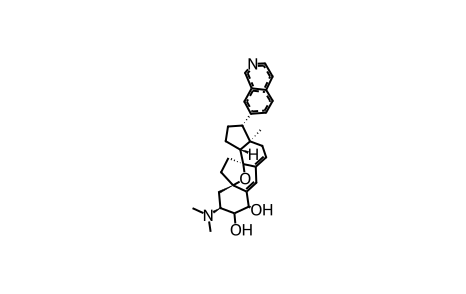 CN(C)[C@H]1C[C@@]23CC[C@@]4(O2)C(=CC[C@]2(C)[C@@H](c5ccc6ccncc6c5)CC[C@H]24)C=C3[C@@H](O)C1O